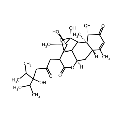 CC1=CC(=O)[C@@H](O)[C@]2(C)C3[C@]45CO[C@]3(O)[C@H](O)[C@H](C)C4C(CC(=O)CC(O)(C(C)C)C(C)C)C(=O)O[C@@H]5C[C@@H]12